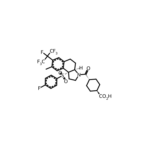 Cc1cc2c(cc1C(F)(C(F)(F)F)C(F)(F)F)CC[C@H]1N(C(=O)[C@H]3CC[C@H](C(=O)O)CC3)CC[C@@]21S(=O)(=O)c1ccc(F)cc1